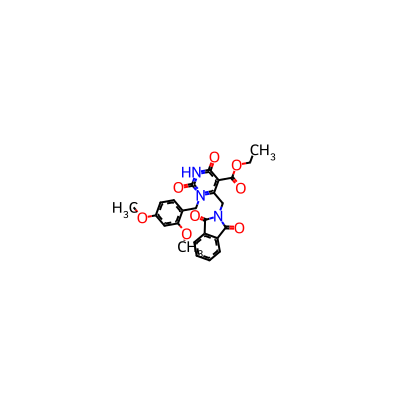 CCOC(=O)c1c(CN2C(=O)c3ccccc3C2=O)n(Cc2ccc(OC)cc2OC)c(=O)[nH]c1=O